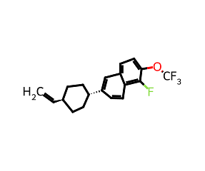 C=C[C@H]1CC[C@H](c2ccc3c(F)c(OC(F)(F)F)ccc3c2)CC1